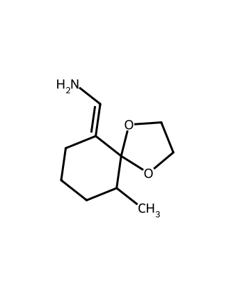 CC1CCC/C(=C\N)C12OCCO2